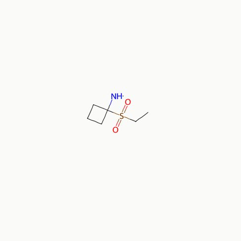 CCS(=O)(=O)C1([NH])CCC1